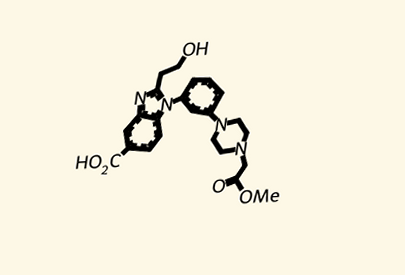 COC(=O)CN1CCN(c2cccc(-n3c(CCO)nc4cc(C(=O)O)ccc43)c2)CC1